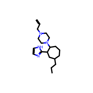 C=CCN1CCN(C2CCCC(CCC)CC2c2ncc[nH]2)CC1